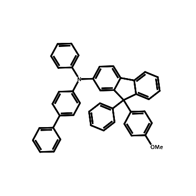 COc1ccc(C2(c3ccccc3)c3ccccc3-c3ccc(N(c4ccccc4)c4ccc(-c5ccccc5)cc4)cc32)cc1